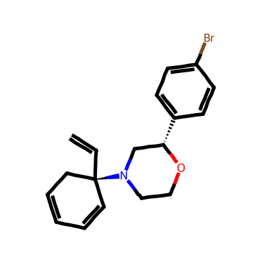 C=C[C@]1(N2CCO[C@@H](c3ccc(Br)cc3)C2)C=CC=CC1